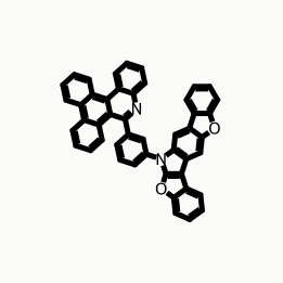 c1cc(-c2nc3ccccc3c3c4ccccc4c4ccccc4c23)cc(-n2c3cc4c(cc3c3c5ccccc5oc32)oc2ccccc24)c1